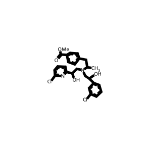 COC(=O)c1ccc(CC(C)N(CC(O)c2cccc(Cl)c2)CC(O)c2cccc(Cl)n2)cc1